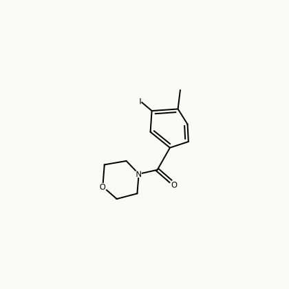 Cc1ccc(C(=O)N2CCOCC2)cc1I